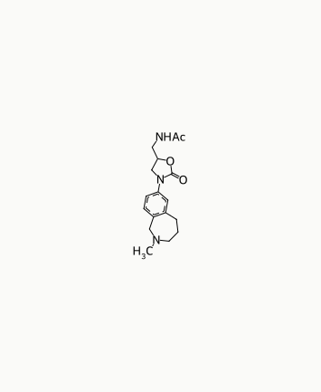 CC(=O)NCC1CN(c2ccc3c(c2)CCCN(C)C3)C(=O)O1